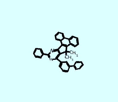 CC1(C)c2c(-c3cccc(-c4ccccc4)c3)nc(-c3ccccc3)nc2-c2c1c1ccccc1c1ccccc21